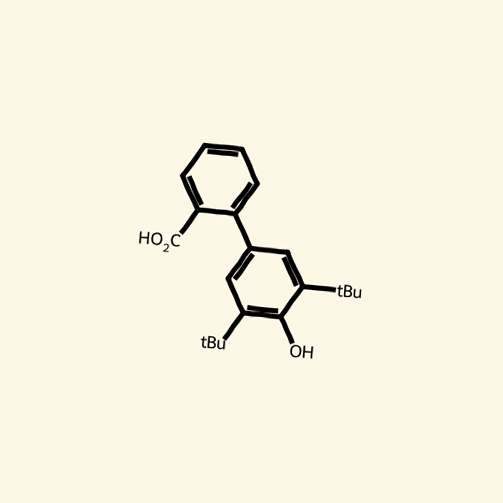 CC(C)(C)c1cc(-c2ccccc2C(=O)O)cc(C(C)(C)C)c1O